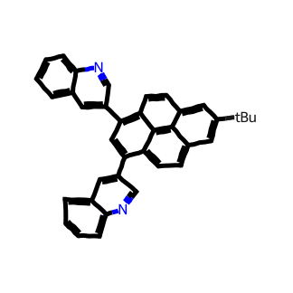 CC(C)(C)c1cc2ccc3c(-c4cnc5ccccc5c4)cc(-c4cnc5ccccc5c4)c4ccc(c1)c2c34